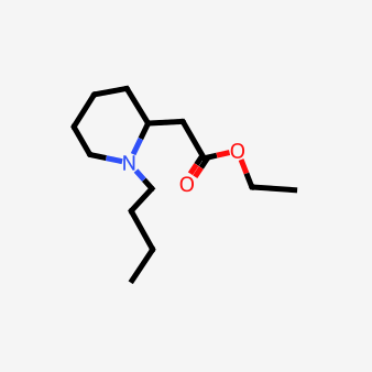 CCCCN1CCCCC1CC(=O)OCC